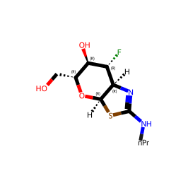 CCCNC1=N[C@@H]2[C@@H](F)[C@H](O)[C@@H](CO)O[C@@H]2S1